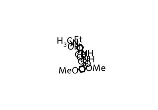 CCN(c1ccc(NC(=O)NS(=O)(=O)c2cc(OC)ccc2OC)c(C)c1)C(C)O